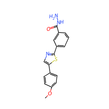 COc1ccc(-c2cnc(-c3cccc(C(=O)NN)c3)s2)cc1